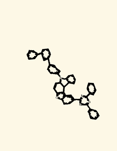 C1=CC2C(c3ccccc3N2c2ccc(-c3cccc(-c4ccccc4)c3)cc2)c2c1oc1ccc(-c3nc(-c4ccccc4)nc(-c4ccccc4)n3)cc21